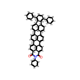 O=C1c2ccc3c4ccc5c6ccc7c8c(ccc(c9ccc(c%10ccc(c2c3%10)C(=O)N1c1ccccc1)c4c59)c86)-c1c(-c2ccccc2)ccc(-c2ccccc2)c1-7